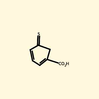 O=C(O)C1=CC=CC(=S)C1